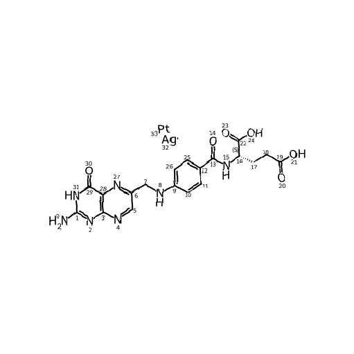 Nc1nc2ncc(CNc3ccc(C(=O)N[C@@H](CCC(=O)O)C(=O)O)cc3)nc2c(=O)[nH]1.[Ag].[Pt]